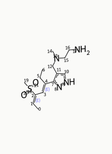 C/C=C(\C=C(/CC)c1n[nH]cc1CN(C)CCN)S(C)(=O)=O